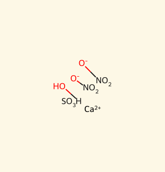 O=S(=O)(O)O.O=[N+]([O-])[O-].O=[N+]([O-])[O-].[Ca+2]